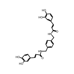 O=C(/C=C/c1ccc(O)c(O)c1)NCc1ccc(CNC(=O)/C=C/c2ccc(O)c(O)c2)cc1